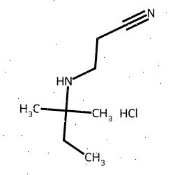 CCC(C)(C)NCCC#N.Cl